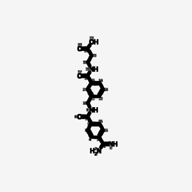 N=C(N)c1ccc(C(=O)NCc2cccc(C(=O)NCCC(=O)O)c2)cc1